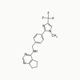 Cn1cc(C(F)(F)F)nc1-c1ccc(CNc2ncnc3c2CCC3)cc1